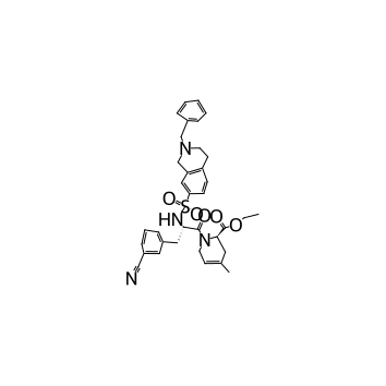 CCOC(=O)[C@H]1CC(C)=CCN1C(=O)[C@H](Cc1cccc(C#N)c1)NS(=O)(=O)c1ccc2c(c1)CN(Cc1ccccc1)CC2